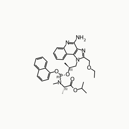 CCOCc1nc2c(N)nc3ccccc3c2n1C[C@H](C)O[P@@](Oc1cccc2ccccc12)N(C)[C@@H](C)C(=O)OC(C)C